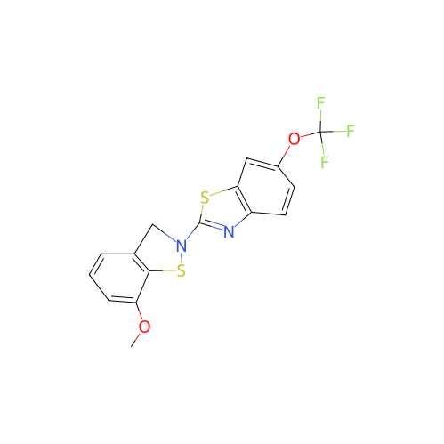 COc1cccc2c1SN(c1nc3ccc(OC(F)(F)F)cc3s1)C2